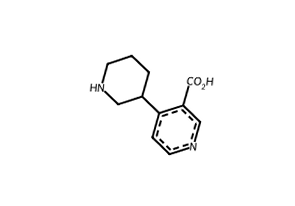 O=C(O)c1cnccc1C1CCCNC1